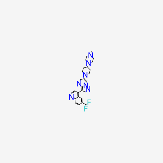 CN1CCN(C2CCN(c3cnc4c(-c5ccnc6ccc(C(F)F)cc56)cnn4c3)CC2)CC1